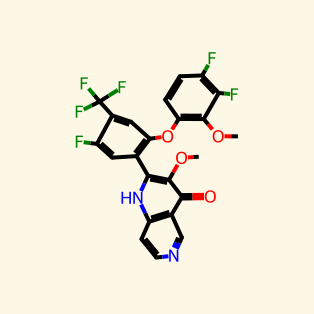 COc1c(Oc2cc(C(F)(F)F)c(F)cc2-c2[nH]c3ccncc3c(=O)c2OC)ccc(F)c1F